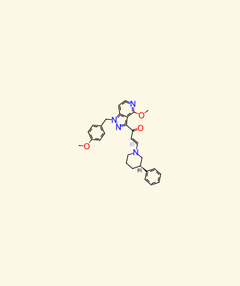 COc1ccc(Cn2nc(C(=O)/C=C/N3CCC[C@H](c4ccccc4)C3)c3c(OC)nccc32)cc1